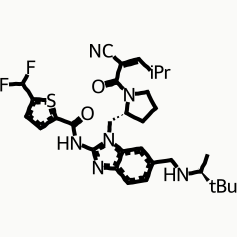 CC(C)C=C(C#N)C(=O)N1CCC[C@@H]1Cn1c(NC(=O)c2ccc(C(F)F)s2)nc2ccc(CN[C@@H](C)C(C)(C)C)cc21